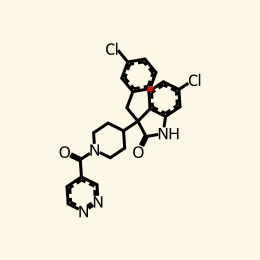 O=C(c1ccnnc1)N1CCC(C2(Cc3cccc(Cl)c3)C(=O)Nc3cc(Cl)ccc32)CC1